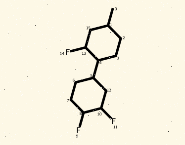 CC1CCC(C2CCC(F)C(F)C2)C(F)C1